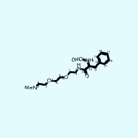 CNCCOCCOCCNC(=O)C(Cc1ccccc1)NC=O